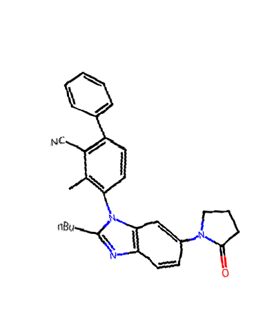 CCCCc1nc2ccc(N3CCCC3=O)cc2n1-c1ccc(-c2ccccc2)c(C#N)c1C